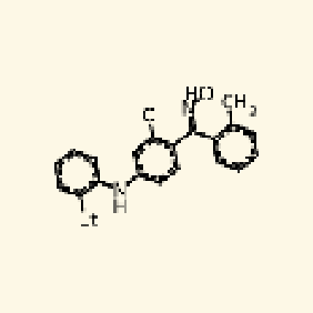 CCc1ccccc1Nc1ccc(C(=NO)c2ccccc2C)c(Cl)c1